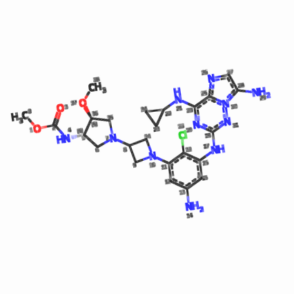 COC(=O)N[C@H]1CN(C2CN(c3cc(N)cc(Nc4nc(NC5CC5)c5ncc(N)n5n4)c3Cl)C2)C[C@@H]1OC